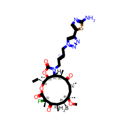 B[C@@H]1[C@@H](C)C(=O)[C@](C)(F)C(=O)O[C@H](CC)[C@@]2(C)OC(=O)N(C/C=C/Cn3cc(-c4cnc(N)s4)nn3)[C@@H]2[C@@H](C)C(=O)[C@H](C)C[C@@]1(C)OC